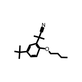 CCCCOc1ccc(C(C)(C)C)cc1C(C)(C)C#N